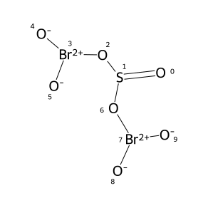 O=S(O[Br+2]([O-])[O-])O[Br+2]([O-])[O-]